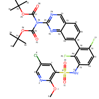 COc1ncc(Cl)cc1S(=O)(=O)Nc1ccc(F)c(-c2ccc3cnc(N(C(=O)OC(C)(C)C)C(=O)OC(C)(C)C)nc3c2)c1F